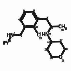 CC(C)NCc1cccc(CC(C)NC2CCOCC2)c1Cl